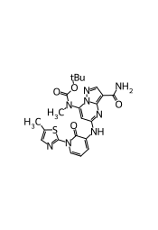 Cc1cnc(-n2cccc(Nc3cc(N(C)C(=O)OC(C)(C)C)n4ncc(C(N)=O)c4n3)c2=O)s1